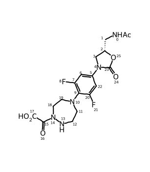 CC(=O)NC[C@H]1CN(c2cc(F)c(N3CCNN(C(=O)C(=O)O)CC3)c(F)c2)C(=O)O1